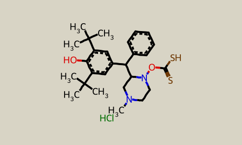 CN1CCN(OC(=S)S)C(C(c2ccccc2)c2cc(C(C)(C)C)c(O)c(C(C)(C)C)c2)C1.Cl